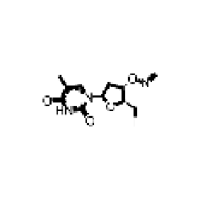 C=NO[C@H]1C[C@H](n2cc(C)c(=O)[nH]c2=O)O[C@@H]1CI